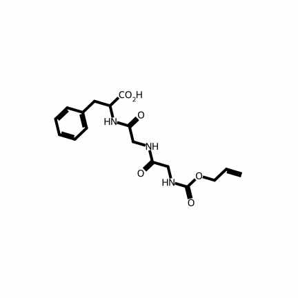 C=CCOC(=O)NCC(=O)NCC(=O)NC(Cc1ccccc1)C(=O)O